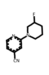 N#Cc1ccnc(N2CCCC(F)C2)c1